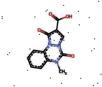 Cn1c(=O)n2cc(C(=O)O)c(=O)n2c2ccccc21